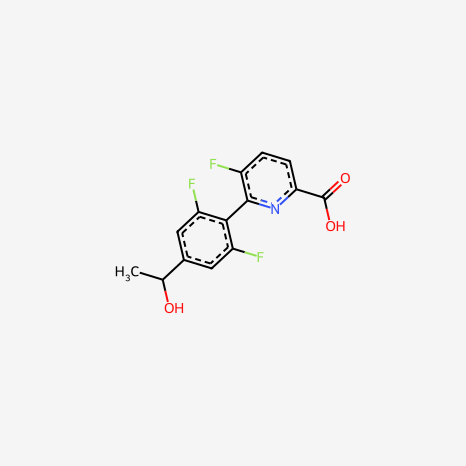 CC(O)c1cc(F)c(-c2nc(C(=O)O)ccc2F)c(F)c1